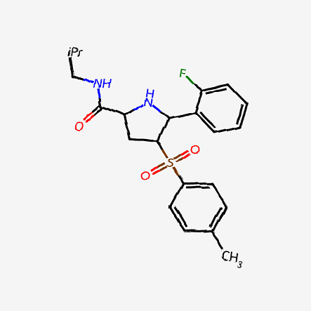 Cc1ccc(S(=O)(=O)C2CC(C(=O)NCC(C)C)NC2c2ccccc2F)cc1